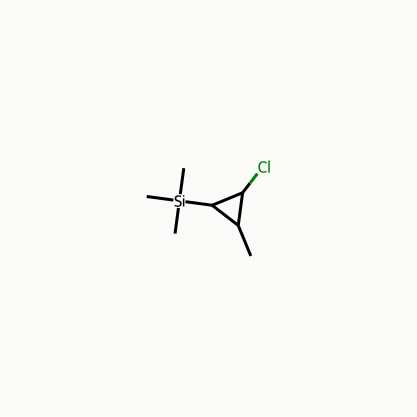 CC1C(Cl)C1[Si](C)(C)C